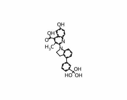 Cc1c(N2CCc3c(-c4cccc(C(O)(O)O)c4)cccc32)nc2ccc(O)cc2c1C(=O)O